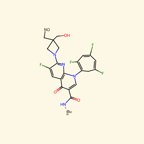 CC[C@@H](C)NC(=O)c1cn(C2=C(F)C=C(F)C=C(F)C2)c2nc(N3CC(CO)(CN=O)C3)c(F)cc2c1=O